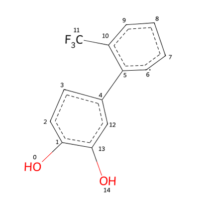 Oc1ccc(-c2[c]cccc2C(F)(F)F)cc1O